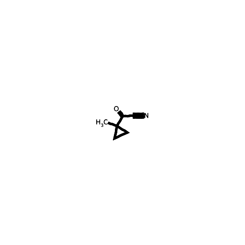 CC1(C(=O)C#N)CC1